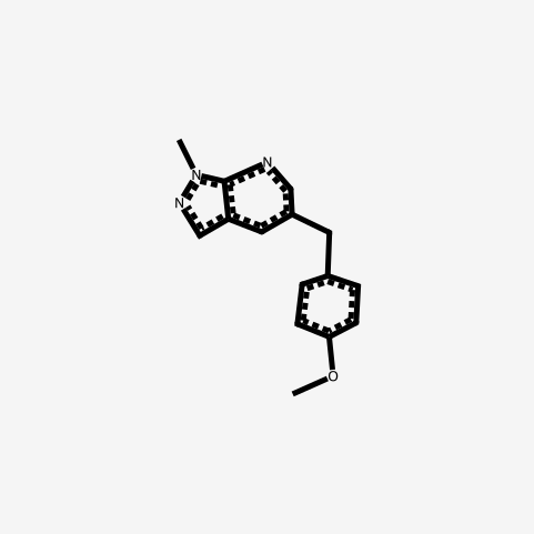 COc1ccc(Cc2cnc3c(cnn3C)c2)cc1